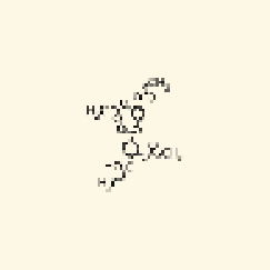 C=CC(=O)Oc1ccc(OC(=O)c2ccc(OC(O)C=C)c(OC(=O)C=C)c2)cc1OC(=O)C=C